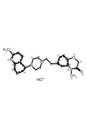 Cc1ccc2c(N3CCN(CCc4ccc5c(c4)N(C)C(=O)CO5)CC3)cccc2n1.Cl